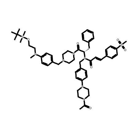 CC(=O)N1CCN(c2ccc(CN(C(=O)C=Cc3ccc(S(C)(=O)=O)cc3)[C@@H](Cc3ccccc3)C(=O)N3CCN(Cc4ccc(N(C)CCO[Si](C)(C)C(C)(C)C)cc4)CC3)cc2)CC1